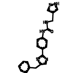 O=C(NCc1cn[nH]c1)Nc1ccc(-c2ncc(Cc3ccccc3)s2)cc1